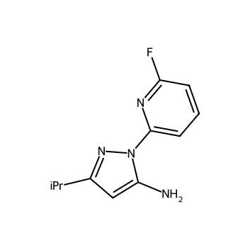 CC(C)c1cc(N)n(-c2cccc(F)n2)n1